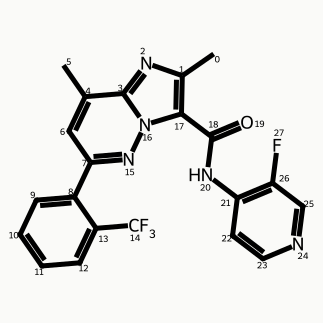 Cc1nc2c(C)cc(-c3ccccc3C(F)(F)F)nn2c1C(=O)Nc1ccncc1F